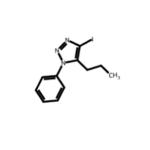 CCCc1c(I)nnn1-c1ccccc1